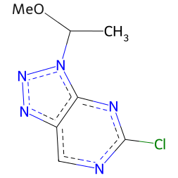 COC(C)n1nnc2cnc(Cl)nc21